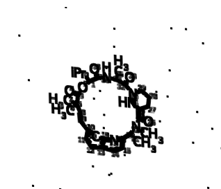 CC(C)C1OC(=O)C(C)(C)/C=C/c2ccc3ccc(nc3c2)[C@@H](C)N(C)C(=O)[C@@H]2CCCN(N2)C(=O)[C@H](C)NC1=O